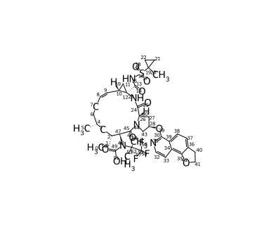 CC[C@@H]1C[C@H](C)CC/C=C\[C@@H]2C[C@@]2(C(=O)NS(=O)(=O)C2(C)CC2)NC(=O)[C@@H]2C[C@@H](Oc3nccc4c5c(ccc34)CCO5)CN2C(=O)[C@H]1N(C(=O)O)C(C)(C)C(F)(F)F